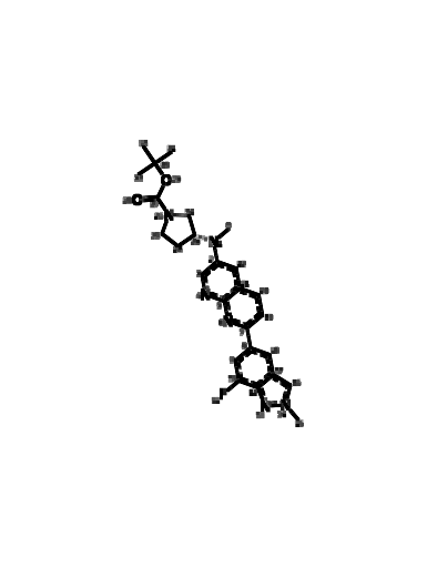 CN(c1cnc2nc(-c3cc(F)c4nn(C)cc4c3)ccc2c1)[C@@H]1CCN(C(=O)OC(C)(C)C)C1